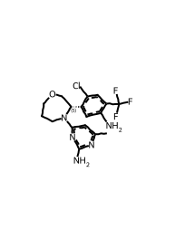 Cc1cc(N2CCCOC[C@@H]2c2cc(N)c(C(F)(F)F)cc2Cl)nc(N)n1